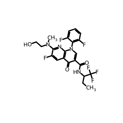 CCC(NC(=O)c1cn(-c2c(F)cccc2F)c2nc(N(C)CCO)c(F)cc2c1=O)C(F)(F)F